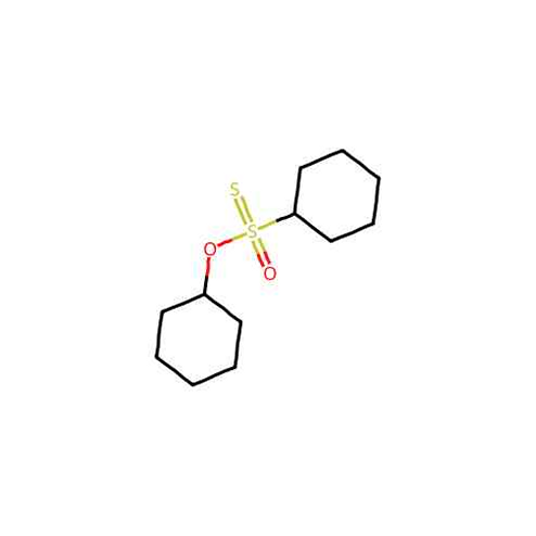 O=S(=S)(OC1CCCCC1)C1CCCCC1